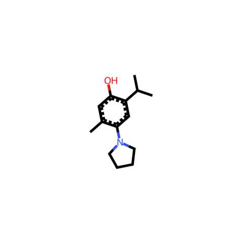 Cc1cc(O)c(C(C)C)cc1N1CCCC1